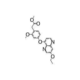 CCOc1cnc2c(Oc3ccc(CC(=O)OC)c(OC)c3)ccnc2c1